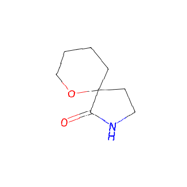 O=C1NCCC12CCCCO2